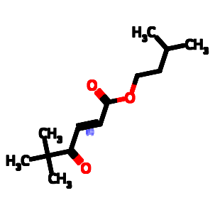 CC(C)CCOC(=O)/C=C/C(=O)C(C)(C)C